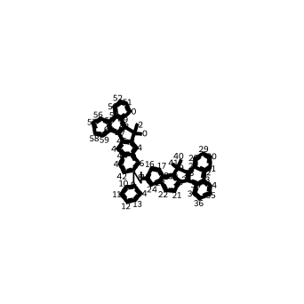 CC1(C)c2cc3cc(N(c4ccccc4)c4ccc5c6c(ccc5c4)-c4c(c5ccccc5c5ccccc45)C6(C)C)ccc3cc2-c2c1c1ccccc1c1ccccc21